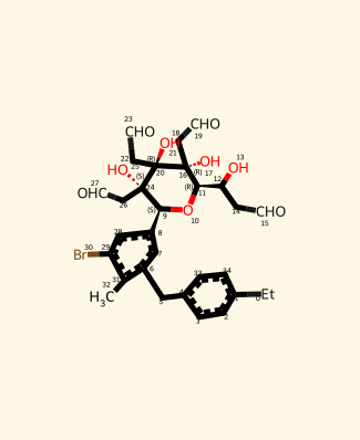 CCc1ccc(Cc2cc([C@@H]3O[C@H](C(O)CC=O)[C@](O)(CC=O)[C@@](O)(CC=O)[C@]3(O)CC=O)cc(Br)c2C)cc1